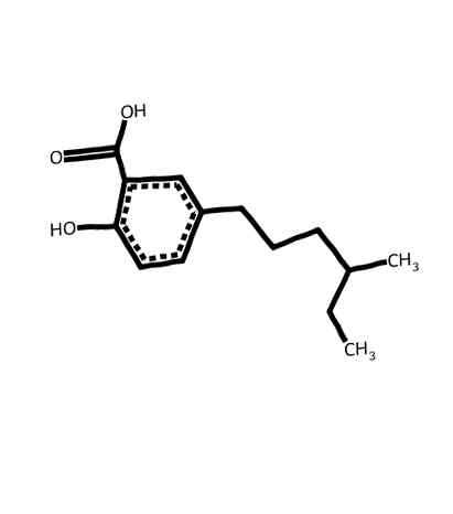 CCC(C)CCCc1ccc(O)c(C(=O)O)c1